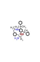 CC(C)(c1ccccc1)c1ccc(O)c(C(C)(C)c2ccccc2)c1.CC(N)Cc1cccc(CC(C)N)c1